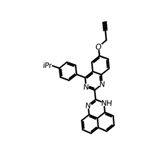 C#CCOc1ccc2nc(C3=Nc4cccc5cccc(c45)N3)nc(-c3ccc(C(C)C)cc3)c2c1